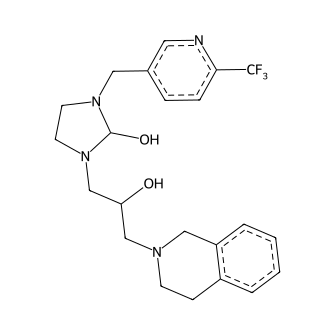 OC(CN1CCc2ccccc2C1)CN1CCN(Cc2ccc(C(F)(F)F)nc2)C1O